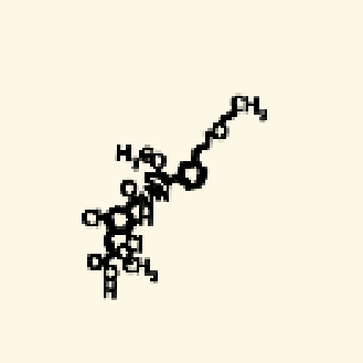 CCCOCCCc1cccc(-c2nc(NC(=O)c3cc(Cl)c(C=C(OC)C(=O)O)c(Cl)c3)sc2OC)c1